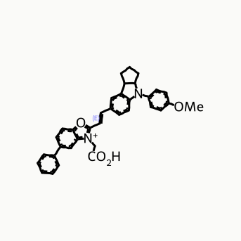 COc1ccc(N2c3ccc(/C=C/c4oc5ccc(-c6ccccc6)cc5[n+]4CC(=O)O)cc3C3CCCC32)cc1